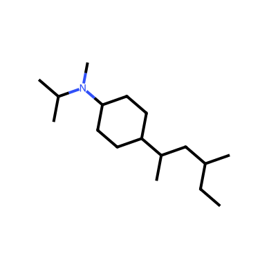 CCC(C)CC(C)C1CCC(N(C)C(C)C)CC1